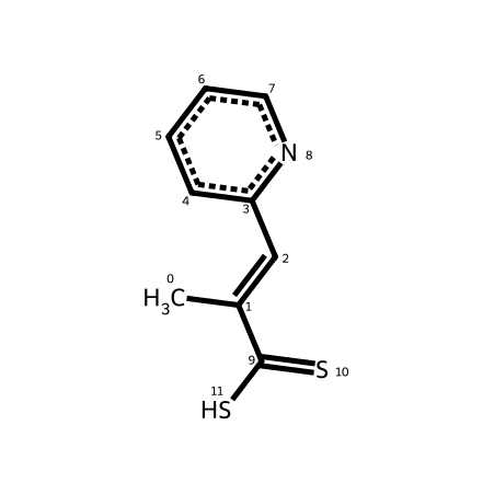 C/C(=C\c1ccccn1)C(=S)S